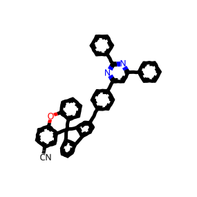 N#Cc1ccc2c(c1)C1(c3ccccc3O2)c2ccccc2-c2ccc(-c3ccc(-c4cc(-c5ccccc5)nc(-c5ccccc5)n4)cc3)cc21